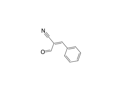 N#C/C(C=O)=C/c1ccccc1